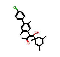 CC(=O)/C(=C(/O)C1(C)CC(C)CC(C)C1)c1cc(C)c(-c2ccc(Cl)cc2)cc1C